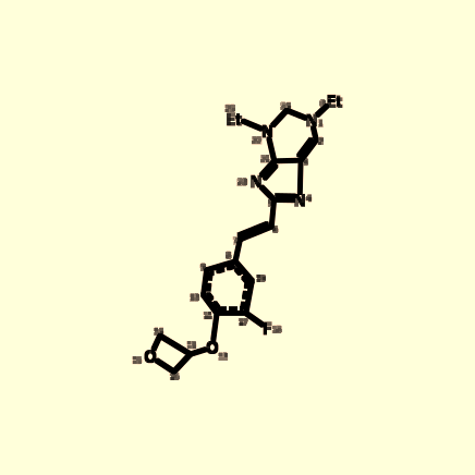 CCN1C=C2N=C(C=Cc3ccc(OC4COC4)c(F)c3)N=C2N(CC)C1